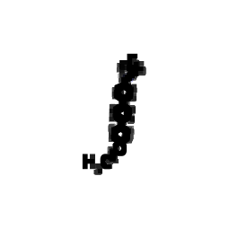 CCCOC1CCC(c2ccc(C3CCC(/C=C/C(F)(F)F)CC3)cc2)CC1